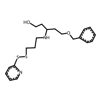 OCCC(CCOCc1ccccc1)NCCCSSc1ccccn1